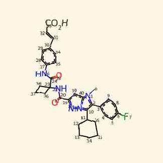 Cn1c(-c2ccc(F)cc2)c(C2CCCCC2)n2nc(C(=O)NC3(C(=O)Nc4ccc(C=CC(=O)O)cc4)CCC3)cc12